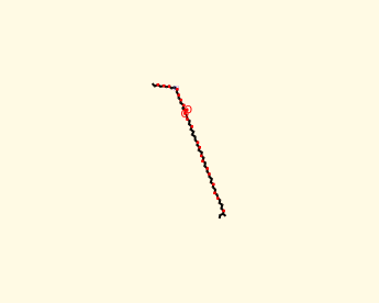 CCCCCCCC/C=C\CCCCCCCC(=O)OCCCCCCCCCCCCCCCCCCCCCCCCCCCCCCCCCCCCCC(C)CC